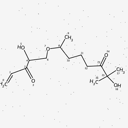 C=CC(=O)C(O)COC(C)CCCC(=O)C(C)(C)O